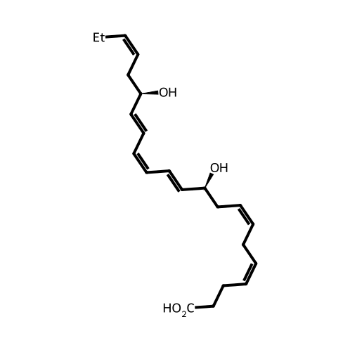 CC/C=C\C[C@@H](O)/C=C/C=C\C=C\[C@@H](O)C/C=C\C/C=C\CCC(=O)O